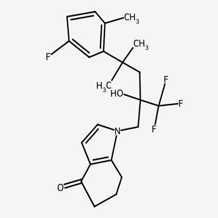 Cc1ccc(F)cc1C(C)(C)CC(O)(Cn1ccc2c1CCCC2=O)C(F)(F)F